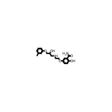 Cc1cccc(OCC(O)CNCCOc2ccc(O)c(C(N)=O)c2)c1